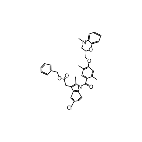 Cc1cc(C(=O)n2c(C)c(CC(=O)OCc3ccccc3)c3cc(Cl)ccc32)c(C)cc1OC[C@@H]1CN(C)c2ccccc2O1